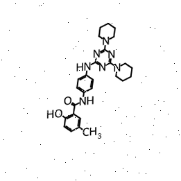 Cc1ccc(O)c(C(=O)Nc2ccc(Nc3nc(N4CCCCC4)nc(N4CCCCC4)n3)cc2)c1